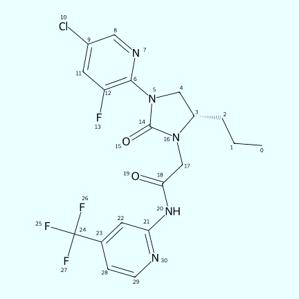 CCC[C@H]1CN(c2ncc(Cl)cc2F)C(=O)N1CC(=O)Nc1cc(C(F)(F)F)ccn1